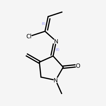 C=C1CN(C)C(=O)/C1=N/C(Cl)=C\C